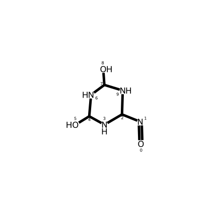 O=NC1NC(O)NC(O)N1